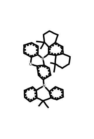 CC1(C)CCCc2cc3c(c(B4c5ccccc5Oc5cc(N6c7ccccc7C(C)(C)c7ccccc76)ccc54)c21)C(C)(C)CCC3